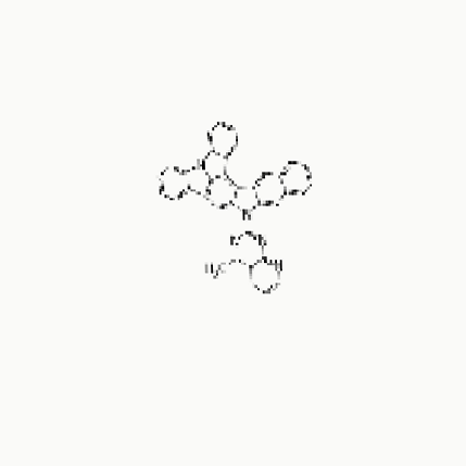 Cc1nc(-n2c3cc4ccccc4cc3c3c4c5ccccc5n5c6ccccc6c(cc32)c45)nc2ncccc12